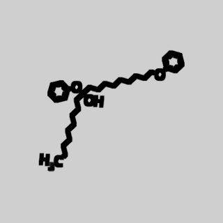 CCCCCCCCCC(O)(CCCCCCCCCOc1ccccc1)Oc1ccccc1